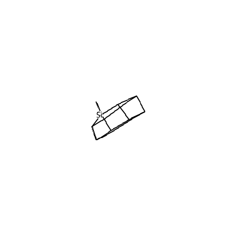 C[Si]12C3C4C5C3C1C5C42